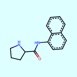 O=C(Nc1cccc2ccccc12)C1CCCN1